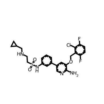 Nc1ncc(-c2cccc(NS(=O)(=O)CCNCC3CC3)c2)cc1OCc1c(F)ccc(F)c1Cl